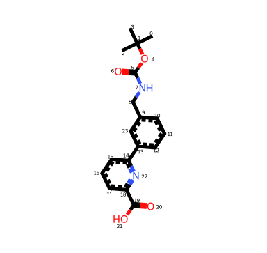 CC(C)(C)OC(=O)NCc1cccc(-c2cccc(C(=O)O)n2)c1